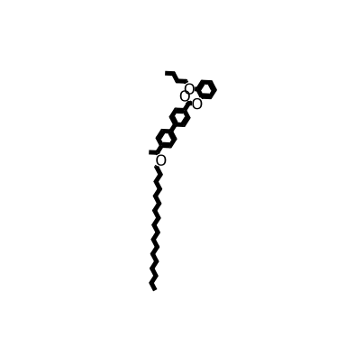 CCCCCCCCCCCCCCCCCCOC(C)c1ccc(-c2ccc(C(=O)Oc3ccccc3OCCCC)cc2)cc1